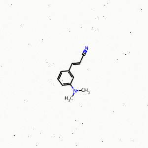 CN(C)c1cccc(C=CC#N)c1